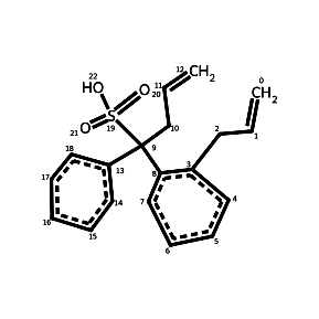 C=CCc1ccccc1C(CC=C)(c1ccccc1)S(=O)(=O)O